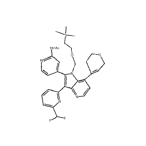 CC(=O)Nc1cc(-c2c(-c3cccc(C(F)F)n3)c3nccc(C4=CCOCC4)c3n2COCC[Si](C)(C)C)ccn1